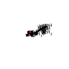 CN(C)S(=O)(=O)CCN(C[C@H](O)[C@@H](O)[C@H](O)[C@H](O)CO)C(=O)CCCSc1ccc(Cl)c(COC2(c3cnccc3-c3ccccc3OC3CC3)CC2)c1